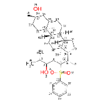 CCC(C(O)CC([C@@H](C)[C@H]1CC[C@H]2[C@@H]3CC=C4C[C@@](C)(O)CC[C@]4(C)[C@H]3CC[C@]12C)S(=O)(=O)c1ccccc1)C(F)(F)F